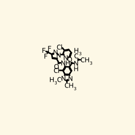 Cc1nc2cc(C(=O)NC(C)C)c(NC(=O)c3cc(C(F)(F)F)nn3-c3ncccc3Cl)c(Cl)c2n1C